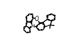 CC1(C)c2ccccc2-c2c1ccc1c2Oc2cccc3c4ccccc4n-1c23